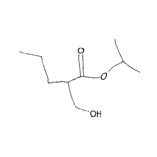 CCCC(CO)C(=O)OC(C)C